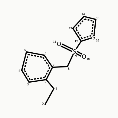 CCc1ccccc1CS(=O)(=O)c1cccs1